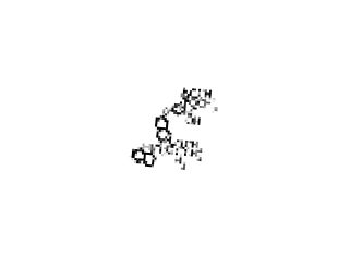 CC(C)(C)OC(=O)N1C[C@@H](Oc2ccc3c(c2)CN(C(=O)OC(C)(C)C)[C@H](C(=O)N[C@@H]2CCCc4ccccc42)C3)C[C@H]1C(=O)O